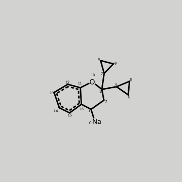 [Na][CH]1CC(C2CC2)(C2CC2)Oc2ccccc21